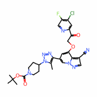 Cc1c(-c2cc(OCC(=O)c3cc(Cl)c(F)cn3)c3c(C#N)cnn3c2)nnn1C1CCN(C(=O)OC(C)(C)C)CC1